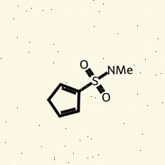 CNS(=O)(=O)C1=CCC=C1